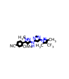 COc1c(Nc2cc(-n3nc(C)c(C(F)(F)F)c3C)ncn2)nn(C)c1-c1ccc(C#N)cc1